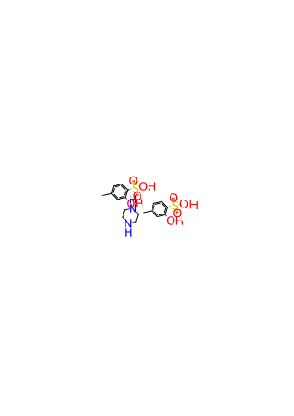 C1CNCCN1.Cc1ccc(S(=O)(=O)O)c(O)c1.Cc1ccc(S(=O)(=O)O)c(O)c1